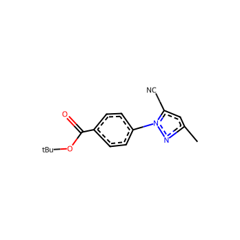 Cc1cc(C#N)n(-c2ccc(C(=O)OC(C)(C)C)cc2)n1